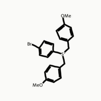 COc1ccc(C[S+](Cc2ccc(OC)cc2)c2ccc(Br)cc2)cc1